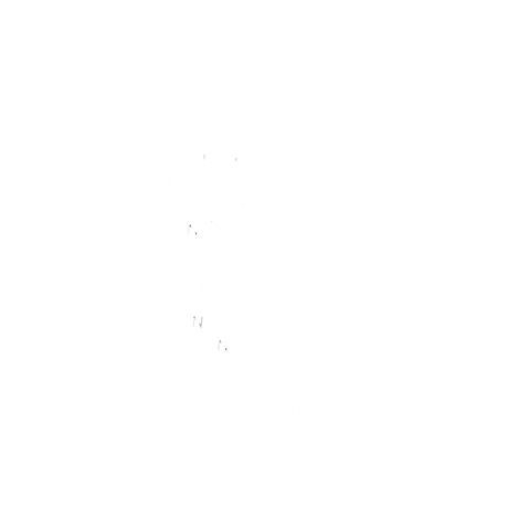 c1ccc(-c2cccc(-c3cc(-c4ccc5c(c4)c4cccc6c7ccccc7c7ccccc7c7ccccc7n5c64)nc(-c4ccccc4)n3)c2)cc1